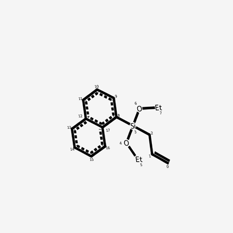 C=CC[Si](OCC)(OCC)c1cccc2ccccc12